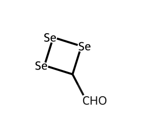 O=CC1[Se][Se][Se]1